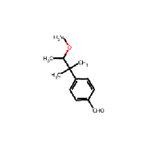 CC(O[SiH3])C(C)(C)c1ccc(C=O)cc1